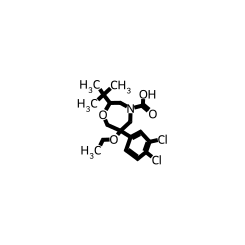 CCOC1(c2ccc(Cl)c(Cl)c2)COC(C(C)(C)C)CN(C(=O)O)C1